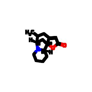 CC1CC2=CC(=O)O[C@@]23C[C@@H]1N1CCCC[C@@H]13